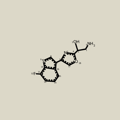 NCC(O)c1nc(-c2csc3c(F)cccc23)co1